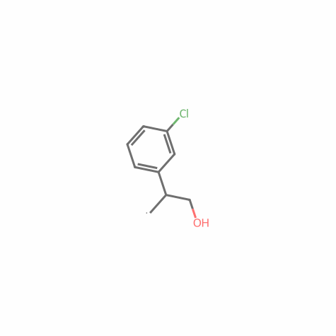 [CH2]C(CO)c1cccc(Cl)c1